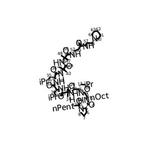 CCCCCCCC[C@H](NC(=O)[C@@H]1CCCN1C(=O)CCCCC)C(=O)N[C@@H](CC(C)C)C(=O)NC(C)(C)C(=O)N[C@@H](CC(C)C)C(=O)N[C@@H](CC(C)C)C(=O)NC(C)(C)C(=O)NC(C)(C)C(=O)NCCC(=O)NCCN1CCCCC1